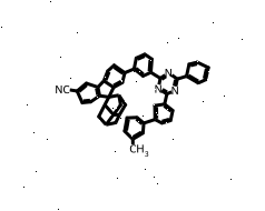 Cc1cccc(-c2cccc(-c3nc(-c4ccccc4)nc(-c4cccc(-c5ccc6c(c5)C5(c7ccc(C#N)cc7-6)C6CC7CC(C6)CC5C7)c4)n3)c2)c1